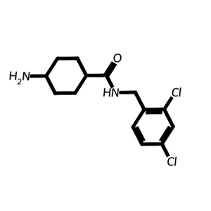 NC1CCC(C(=O)NCc2ccc(Cl)cc2Cl)CC1